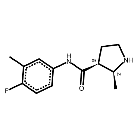 Cc1cc(NC(=O)[C@H]2CCN[C@H]2C)ccc1F